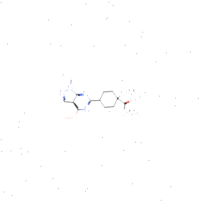 COC(=O)C1(OC)CCC(c2nc(O)c3cnn(C)c3n2)CC1